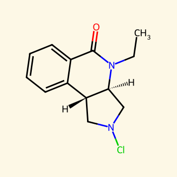 CCN1C(=O)c2ccccc2[C@H]2CN(Cl)C[C@@H]21